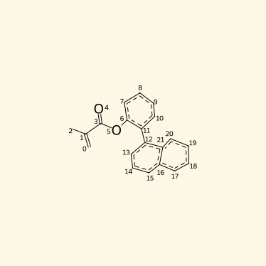 C=C(C)C(=O)Oc1ccccc1-c1cccc2ccccc12